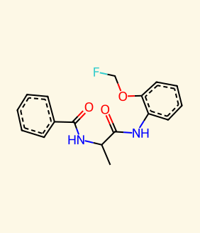 CC(NC(=O)c1ccccc1)C(=O)Nc1ccccc1OCF